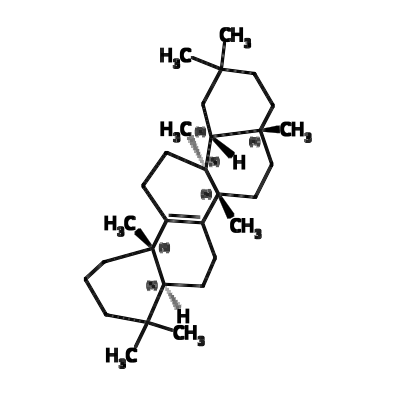 CC1(C)CC[C@]2(C)CC[C@]3(C)C4=C(CC[C@@]3(C)[C@@H]2C1)[C@@]1(C)CCCC(C)(C)[C@@H]1CC4